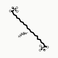 O=C(CCCCCCCCCCCCCCCCCCC(=O)P(=O)([O-])[O-])P(=O)([O-])[O-].[H+].[H+].[Na+].[Na+]